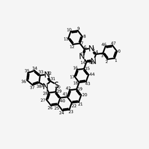 c1ccc(-c2nc(-c3ccccc3)nc(-c3ccc(-c4ccc5ccc6ccc7c(sc8nc9ccccc9n87)c6c5c4)cc3)n2)cc1